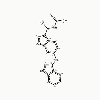 CC(C)(C)C(=O)NC(c1noc2cc(Nc3n[nH]c4cccnc34)ccc12)C(F)(F)F